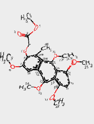 COC(=O)COc1c(OC)cc2c(OC)c3c(OC)ccc(OC)c3c(OC)c2c1C